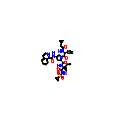 C=C[C@H]1C[C@]1(NC(=O)[C@@H]1C[C@@H](NC(=O)c2nccc3ccccc23)CN1C(=O)[C@@H](NC(=O)CC1CC1)C(C)(C)C)C(=O)NS(=O)(=O)C1CC1